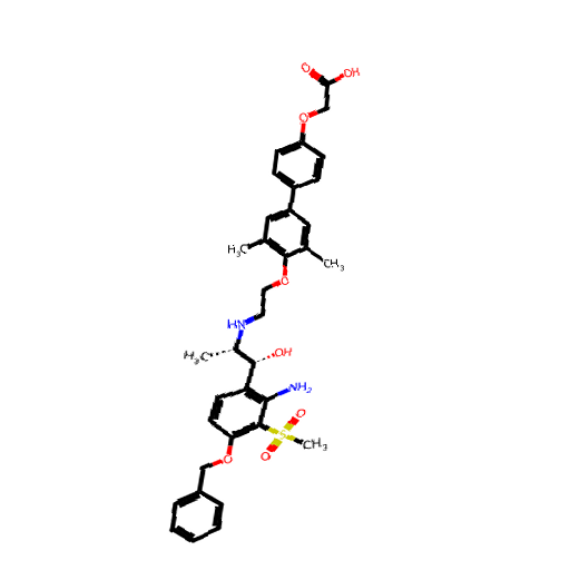 Cc1cc(-c2ccc(OCC(=O)O)cc2)cc(C)c1OCCN[C@@H](C)[C@H](O)c1ccc(OCc2ccccc2)c(S(C)(=O)=O)c1N